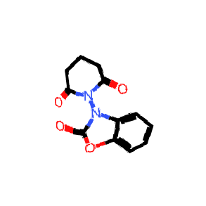 O=C1CCCC(=O)N1n1c(=O)oc2ccccc21